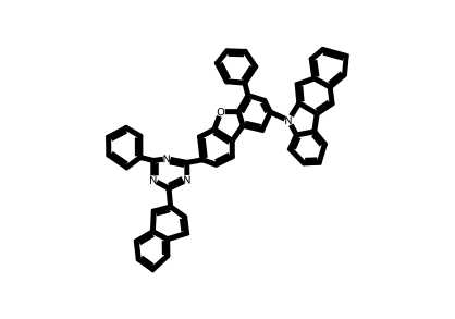 c1ccc(-c2nc(-c3ccc4ccccc4c3)nc(-c3ccc4c(c3)oc3c(-c5ccccc5)cc(-n5c6ccccc6c6cc7ccccc7cc65)cc34)n2)cc1